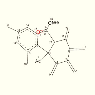 C=C1C(=C)C(=C)C(C(C)=O)(c2c(C)cc(C)cc2C)C(C(=O)OC)C1=C